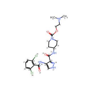 CN(C)CCOC(=O)N1CCC(NC(=O)c2n[nH]cc2NC(=O)c2c(Cl)cccc2Cl)CC1